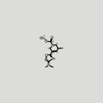 CC1C=C(c2nc(N(C)C)no2)CN(C(=O)OC(C)(C)C)C1